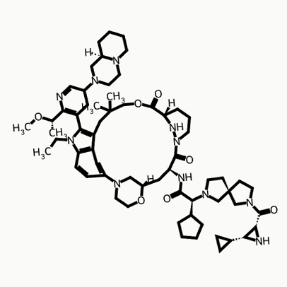 CCn1c(C2=C([C@H](C)OC)N=CC(N3CCN4CCCC[C@@H]4C3)C2)c2c3cc(ccc31)N1CCO[C@@H](C[C@H](NC(=O)[C@H](C3CCCC3)N3CC[C@]4(CCN(C(=O)[C@@H]5N[C@@H]5C5CC5)C4)C3)C(=O)N3CCC[C@H](N3)C(=O)OCC(C)(C)C2)C1